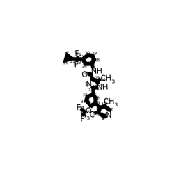 Cc1cncc(C)c1-c1cc(-c2nc(C(=O)Nc3cccc(C(F)(F)C4CC4)c3)c(C)[nH]2)ccc1OC(F)F